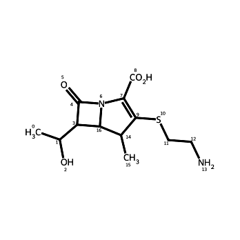 CC(O)C1C(=O)N2C(C(=O)O)=C(SCCN)C(C)C12